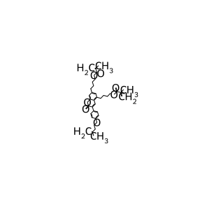 C=C(C)CCOc1ccc(-c2cc3c(CCCCOC(=O)C(=C)C)cc(CCCCOC(=O)C(=C)C)cc3oc2=O)cc1